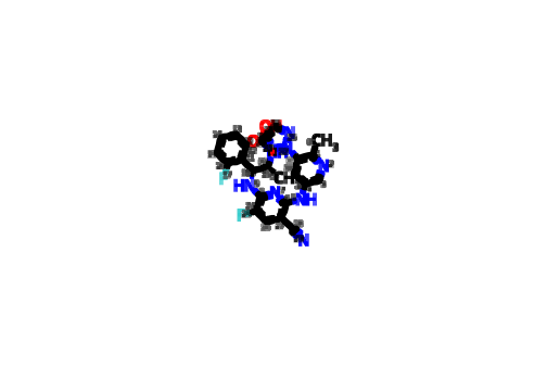 Cc1ncc(Nc2nc(N[C@H](c3ccccc3F)[C@H](C)NC(=O)O)c(F)cc2C#N)cc1-n1nccn1